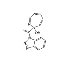 C=C(n1nnc2ccccc21)C1(O)C=CC=CC=N1